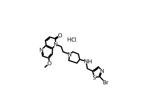 COc1cnc2ccc(=O)n(CCN3CCC(NCc4cnc(Br)s4)CC3)c2c1.Cl